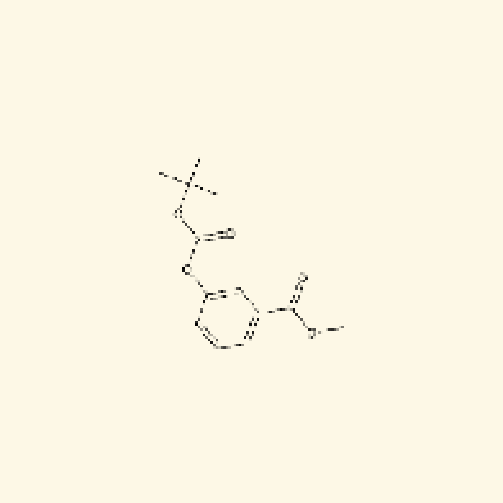 COC(=O)c1cccc(OC(=O)OC(C)(C)C)c1